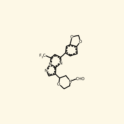 O=CN1CCOC(c2cnn3c(C(F)(F)F)cc(-c4ccc5c(c4)OCO5)nc23)C1